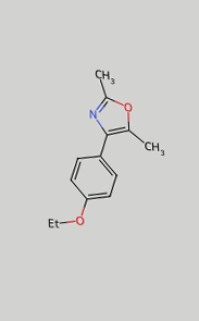 CCOc1ccc(-c2nc(C)oc2C)cc1